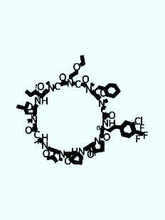 CCOCCN1CC(=O)N(C)[C@@H](CC2CCCCC2)C(=O)N(C)CC(=O)N[C@@H](CCc2ccc(C(F)(F)F)c(Cl)c2)C(=O)N2CCC[C@H]2C(=O)NC2(CCCC2)C(=O)N(C)[C@@H](C(C)C)C(=O)N[C@H](C)CC(=O)N(C)[C@@H](CC(C)C)C(=O)N[C@@H]([C@@H](C)CC)C(=O)N(C)CC1=O